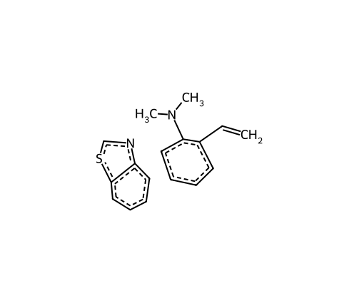 C=Cc1ccccc1N(C)C.c1ccc2scnc2c1